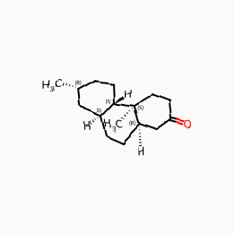 C[C@@H]1CC[C@H]2[C@@H](CC[C@@H]3CC(=O)CC[C@@]32C)C1